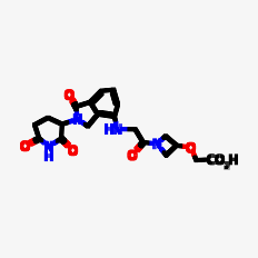 O=C(O)COC1CN(C(=O)CNc2cccc3c2CN(C2CCC(=O)NC2=O)C3=O)C1